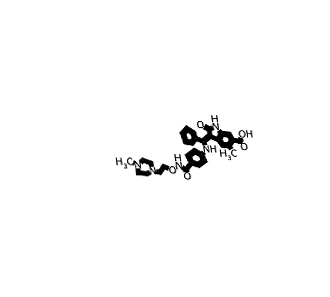 Cc1cc2c(cc1C(=O)O)NC(=O)C2=C(Nc1ccc(C(=O)NOCCN2CCN(C)CC2)cc1)c1ccccc1